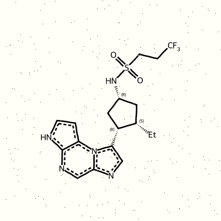 CC[C@H]1C[C@@H](NS(=O)(=O)CCC(F)(F)F)C[C@H]1c1cnc2cnc3[nH]ccc3n12